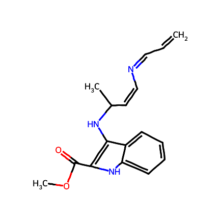 C=C/C=N\C=C/C(C)Nc1c(C(=O)OC)[nH]c2ccccc12